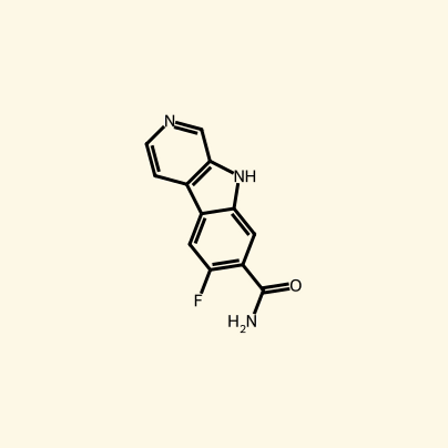 NC(=O)c1cc2[nH]c3cnccc3c2cc1F